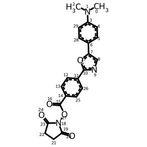 CN(C)c1ccc(-c2cnc(-c3ccc(C(=O)ON4C(=O)CCC4=O)cc3)o2)cc1